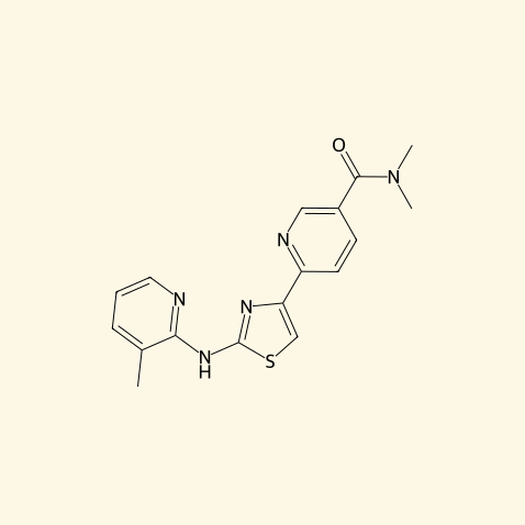 Cc1cccnc1Nc1nc(-c2ccc(C(=O)N(C)C)cn2)cs1